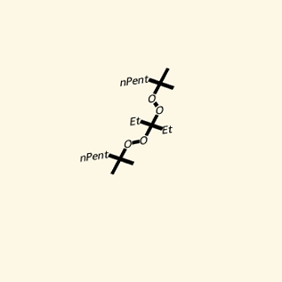 CCCCCC(C)(C)OOC(CC)(CC)OOC(C)(C)CCCCC